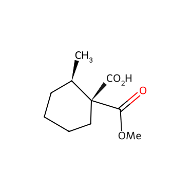 COC(=O)[C@]1(C(=O)O)CCCC[C@H]1C